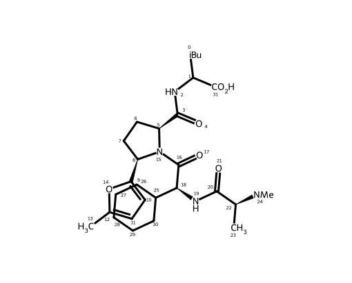 CCC(C)C(NC(=O)[C@@H]1CC[C@H](c2ccc(C)o2)N1C(=O)[C@@H](NC(=O)[C@H](C)NC)C1CCCCC1)C(=O)O